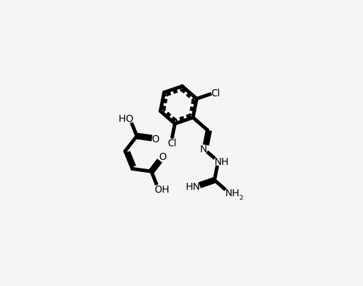 N=C(N)N/N=C/c1c(Cl)cccc1Cl.O=C(O)/C=C\C(=O)O